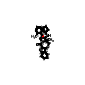 Cc1ccccc1CCN1C(=O)c2oc3ccccc3c2OCC1(C)C(=O)NC1CCCC1